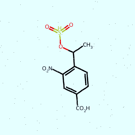 CC(O[SH](=O)=O)c1ccc(C(=O)O)cc1[N+](=O)[O-]